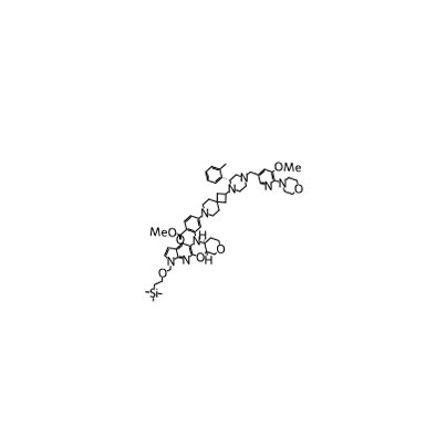 COC(=O)c1ccc(N2CCC3(CC2)CC(N2CCN(Cc4cnc(N5CCOCC5)c(OC)c4)C[C@H]2c2ccccc2C)C3)cc1N1c2cc3ccn(COCC[Si](C)(C)C)c3nc2O[C@H]2COCC[C@@H]21